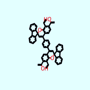 C=Cc1c(C(=C)O)ccc2c1OC1(C=C2c2ccc(C3=CC4(Oc5c3ccc(C(=C)O)c5C=C)c3ccccc3-c3ccccc34)cc2)c2ccccc2-c2ccccc21